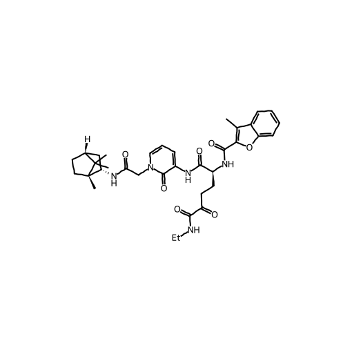 CCNC(=O)C(=O)CC[C@H](NC(=O)c1oc2ccccc2c1C)C(=O)Nc1cccn(CC(=O)N[C@H]2C[C@H]3CC[C@]2(C)C3(C)C)c1=O